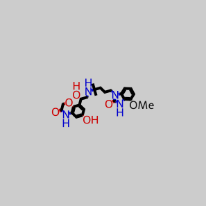 COc1cccc2c1[nH]c(=O)n2CCCC(C)(C)NC[C@H](O)c1cc(O)cc2c1OCC(=O)N2